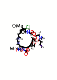 COc1cc2cc(c1Cl)N(C)C(=O)C[C@H](OC(=O)[C@H](C)N(C)C(=O)CCI)[C@]1(C)O[C@H]1[C@H](C)C1C[C@@](O)(NC(=O)O1)[C@H](OC)/C=C/C=C(\C)C2